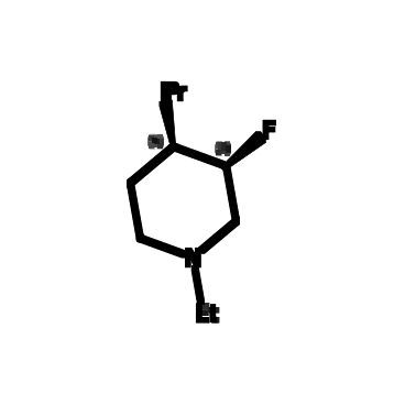 CCN1CC[C@@H](C(C)C)[C@@H](F)C1